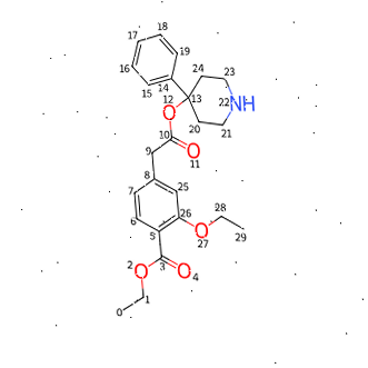 CCOC(=O)c1ccc(CC(=O)OC2(c3ccccc3)CCNCC2)cc1OCC